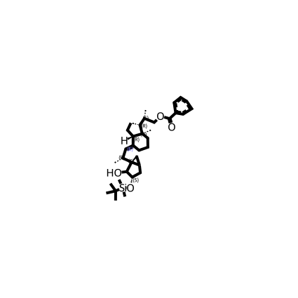 C[C@H](COC(=O)c1ccccc1)[C@H]1CC[C@H]2/C(=C/[C@@H](C)[C@]34CC3C[C@H](O[Si](C)(C)C(C)(C)C)C4O)CCC[C@]12C